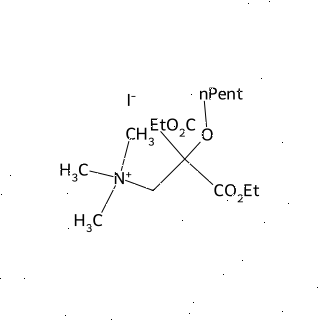 CCCCCOC(C[N+](C)(C)C)(C(=O)OCC)C(=O)OCC.[I-]